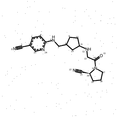 N#Cc1ccc(NCC2CCC(NCC(=O)N3CCC[C@H]3C#N)C2)nc1